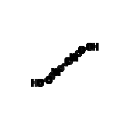 OCCCOc1ccc(/N=N/c2ccc(/C=C/c3ccc(/N=N/c4ccc(OCCCO)cc4)cc3)cc2)cc1